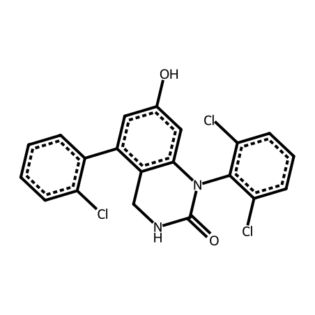 O=C1NCc2c(-c3ccccc3Cl)cc(O)cc2N1c1c(Cl)cccc1Cl